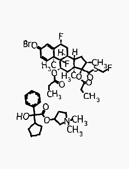 CCC(=O)O[C@H]1C[C@@]2(C)[C@@H](C[C@@H](C)[C@]2(OC(=O)CC)C(=O)SCF)[C@@H]2C[C@H](F)C3=CC(=O)C=C[C@]3(C)[C@@]12F.C[N+]1(C)CCC(OC(=O)C(O)(c2ccccc2)C2CCCC2)C1.[Br-]